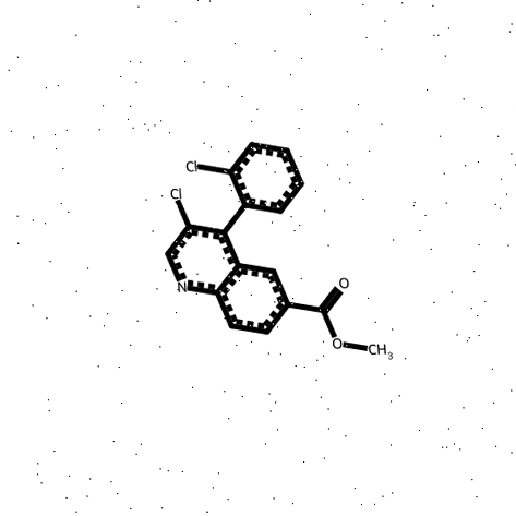 COC(=O)c1ccc2ncc(Cl)c(-c3ccccc3Cl)c2c1